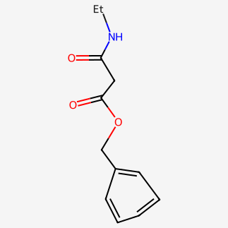 CCNC(=O)CC(=O)OCc1ccccc1